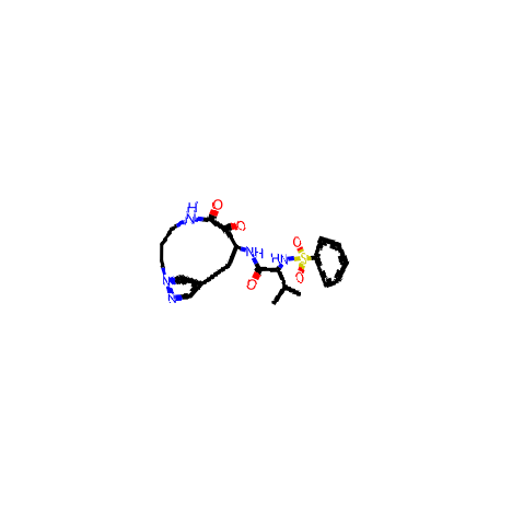 CC(C)C(NS(=O)(=O)c1ccccc1)C(=O)NC1Cc2cnn(c2)CCCNC(=O)C1=O